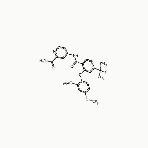 COc1cc(OC(F)(F)F)ccc1Oc1cc(C(C)(C)F)ncc1C(=O)Nc1ccnc(C(N)=O)c1